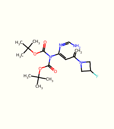 C=C(/C=C(\N=C/N)N(C(=O)OC(C)(C)C)C(=O)OC(C)(C)C)N1CC(F)C1